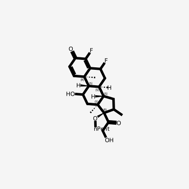 CCCCCO[C@]1(C(=O)CO)C(C)C[C@H]2[C@@H]3CC(F)C4=C(F)C(=O)C=C[C@]4(C)[C@H]3C(O)C[C@@]21C